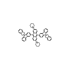 c1ccc2c(c1)C[Si]1(C2)c2ccccc2-c2cc(-c3c4ccc(N5CCCCC5)cc4c(-c4ccc5c(c4)-c4ccccc4[Si]54Cc5ccccc5C4)c4ccc(N5CCCCC5)cc34)ccc21